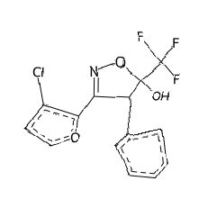 OC1(C(F)(F)F)ON=C(c2occc2Cl)C1c1ccccc1